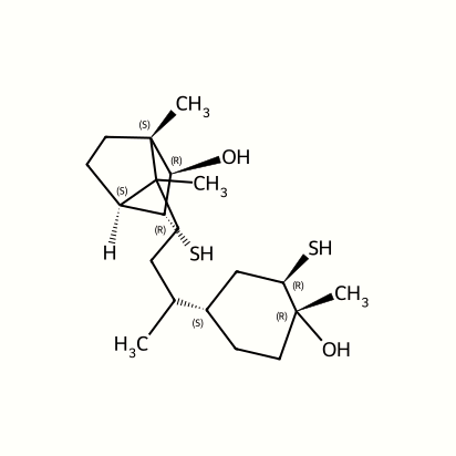 CC(CCC1(C)[C@@H]2CC[C@]1(C)[C@@H](O)[C@@H]2S)[C@H]1CC[C@@](C)(O)[C@H](S)C1